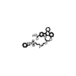 Cc1cccc2c1-c1c(C3CCCCC3)c3ccc(C(=O)O)cc3n1C[C@H](OCCN(C)CCCS(=O)(=O)NCc1ccccc1)CO2